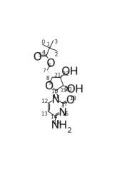 CC(C)(C)C(=O)OC[C@H]1O[C@@H](n2ccc(N)nc2=O)[C@H](O)[C@@H]1O